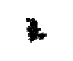 COc1cccc2c1CC[C@H]2Nc1nccc2cc(-c3c4c(nc(CCc5ccc(F)cc5)c3-c3n[nH]c(=O)o3)C35CC3CCN5C4=O)sc12